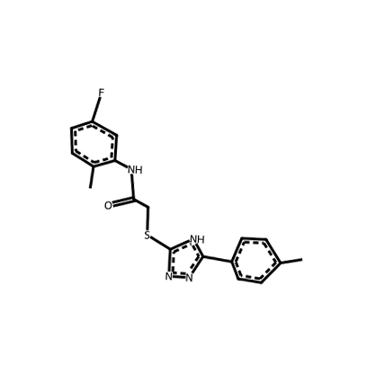 Cc1ccc(-c2nnc(SCC(=O)Nc3cc(F)ccc3C)[nH]2)cc1